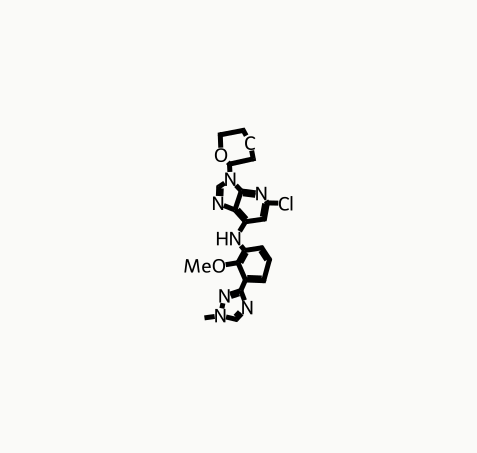 COc1c(Nc2cc(Cl)nc3c2ncn3C2CCCCO2)cccc1-c1ncn(C)n1